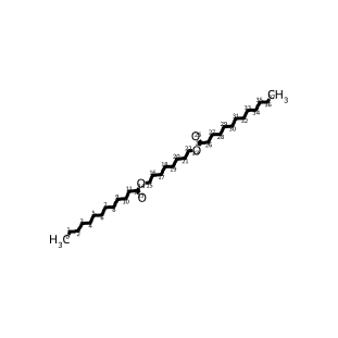 CCCCCCCCCCCCC(=O)OCCCCCCCCOC(=O)CCCCCCCCCCCC